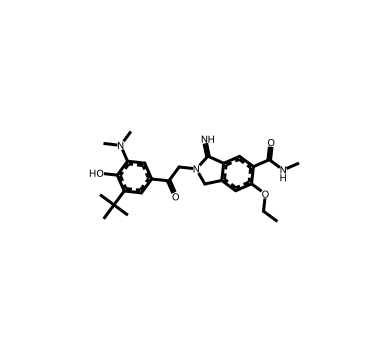 CCOc1cc2c(cc1C(=O)NC)C(=N)N(CC(=O)c1cc(N(C)C)c(O)c(C(C)(C)C)c1)C2